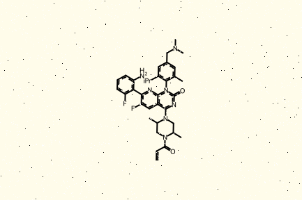 C=CC(=O)N1CC(C)N(c2nc(=O)n(-c3c(C)cc(CN(C)C)cc3C(C)C)c3nc(-c4c(N)cccc4F)c(F)cc23)CC1C